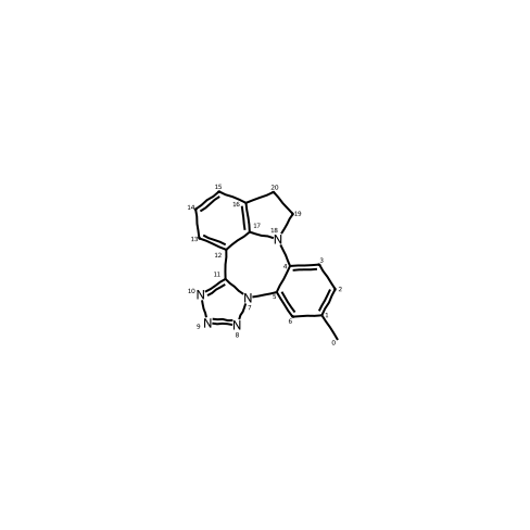 Cc1ccc2c(c1)-n1nnnc1-c1cccc3c1N2CC3